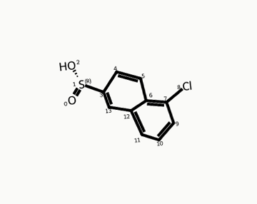 O=[S@](O)c1ccc2c(Cl)cccc2c1